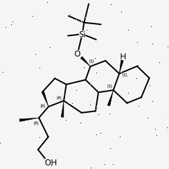 C[C@H](CCO)[C@H]1CCC2C3C(CC[C@@]21C)[C@@]1(C)CCCC[C@H]1C[C@@H]3O[Si](C)(C)C(C)(C)C